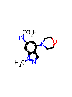 Cn1ncc2c(N3CCOCC3)cc(NC(=O)O)cc21